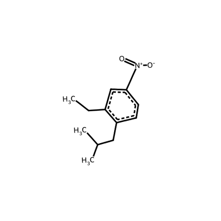 CCc1cc([N+](=O)[O-])ccc1CC(C)C